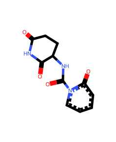 O=C1CCC(NC(=O)n2ccccc2=O)C(=O)N1